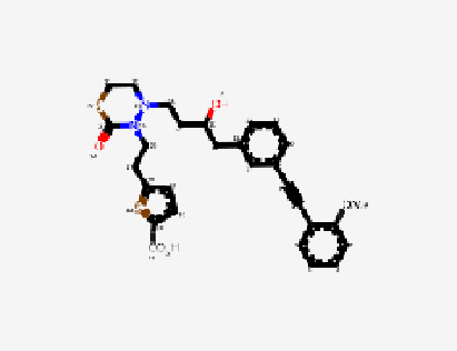 COc1ccccc1C#Cc1cccc(CC(O)CCN2CCSC(=O)N2CCc2ccc(C(=O)O)s2)c1